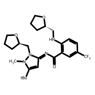 Cn1c(C(C)(C)C)c/c(=N\C(=O)c2cc(C(F)(F)F)ccc2NC[C@@H]2CCCO2)n1C[C@H]1CCCO1